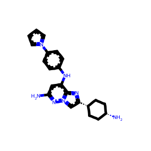 Nc1cc(Nc2ccc(-n3cccc3)cc2)c2nc([C@H]3CC[C@@H](N)CC3)cn2n1